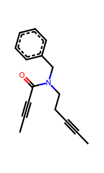 CC#CCCN(Cc1ccccc1)C(=O)C#CC